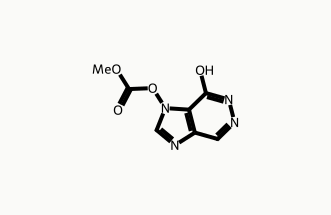 COC(=O)On1cnc2cnnc(O)c21